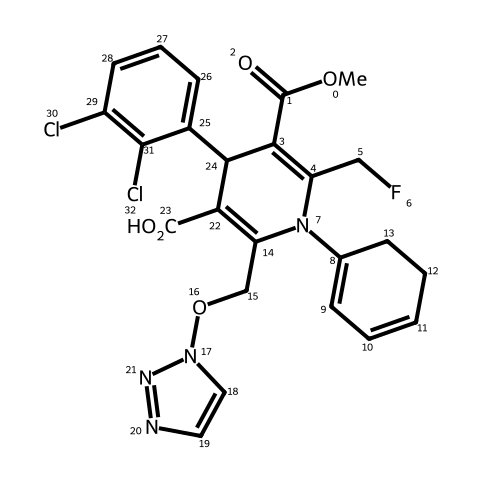 COC(=O)C1=C(CF)N(C2=CC=CCC2)C(COn2ccnn2)=C(C(=O)O)C1c1cccc(Cl)c1Cl